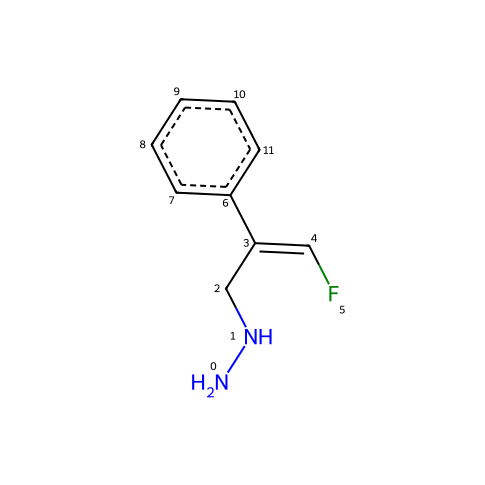 NNCC(=CF)c1ccccc1